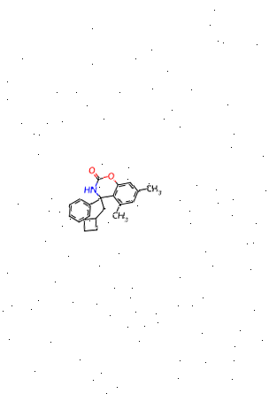 Cc1cc(C)c2c(c1)OC(=O)NC2(CC1CCC1)c1ccccc1